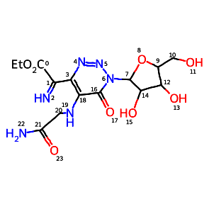 CCOC(=O)C(=N)c1nnn(C2OC(CO)C(O)C2O)c(=O)c1NCC(N)=O